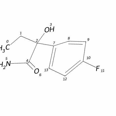 CCC(O)(C(N)=O)c1ccc(F)cc1